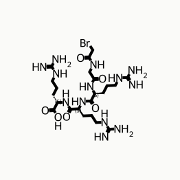 N=C(N)NCCC[C@H](NC(=O)[C@H](CCCNC(=N)N)NC(=O)[C@H](CCCNC(=N)N)NC(=O)CNC(=O)CBr)C(=O)O